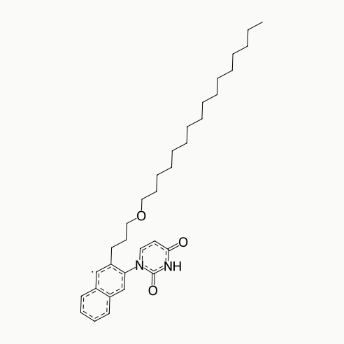 CCCCCCCCCCCCCCCCOCCCc1[c]c2ccccc2cc1-n1ccc(=O)[nH]c1=O